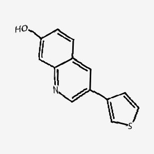 Oc1ccc2cc(-c3ccsc3)cnc2c1